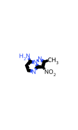 Cc1nn2c(N)ccnc2c1[N+](=O)[O-]